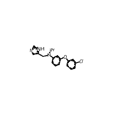 CC(C)N(Cc1cnc[nH]1)c1cccc(Oc2cccc(Cl)c2)c1